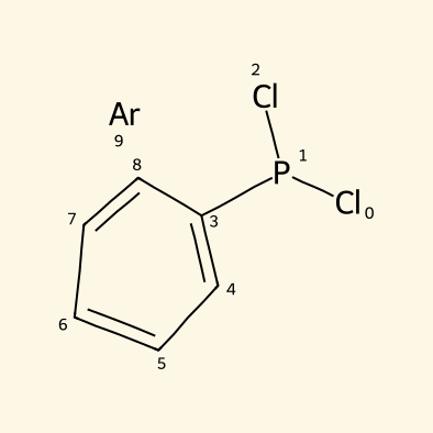 ClP(Cl)c1ccccc1.[Ar]